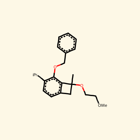 COCCOC1(C)Cc2ccc(C(C)C)c(OCc3ccccc3)c21